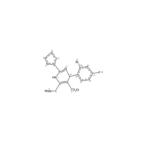 CCOC(=O)C1=C(CNC)NC(c2nccs2)=NC1c1ccc(F)cc1Br